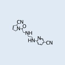 N#Cc1ccc(NCCNCC(=O)N2CC=C[C@H]2C#N)nc1